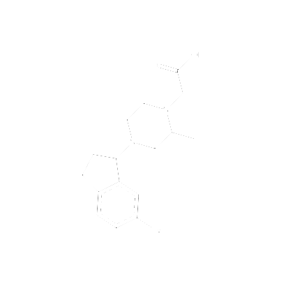 CC1CN(C2CCc3ccc(Br)cc32)CCN1CC(=O)O